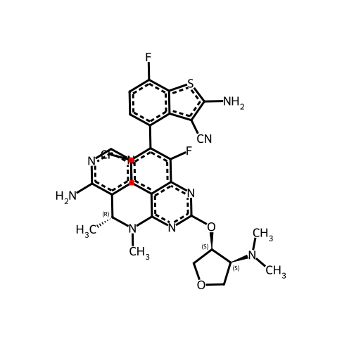 C[C@H](c1cncnc1N)N(C)c1nc(O[C@@H]2COC[C@@H]2N(C)C)nc2c(F)c(-c3ccc(F)c4sc(N)c(C#N)c34)c(Cl)cc12